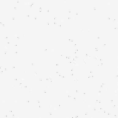 Cc1ccc(Cl)cc1-c1ncc2c(=O)[nH]c(C3CN(Cc4ncccn4)CC3C)nn12